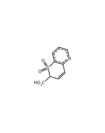 O=C(O)C1C=Cc2ncccc2S1(=O)=O